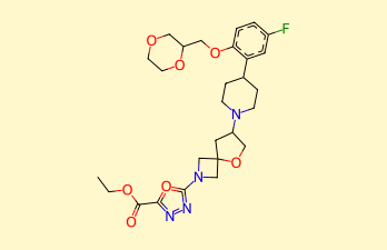 CCOC(=O)c1nnc(N2CC3(CC(N4CCC(c5cc(F)ccc5OCC5COCCO5)CC4)CO3)C2)o1